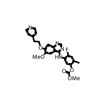 COC(=O)Oc1cc(Nc2ncnc3cc(OCCc4ccncc4)c(OC)cc23)c(F)cc1C